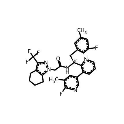 Cc1cc(F)cc(C[C@H](NC(=O)Cn2nc(C(F)(F)F)c3c2CCCC3)c2ncccc2-c2cnc(F)c(C)c2)c1